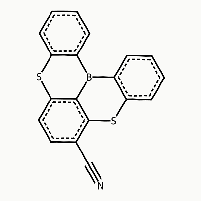 N#Cc1ccc2c3c1Sc1ccccc1B3c1ccccc1S2